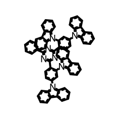 c1ccc(-c2nc(-c3ccc(-n4c5ccccc5c5ccccc54)cc3-n3c4ccccc4c4ccccc43)nc(-c3ccc(-n4c5ccccc5c5ccccc54)cc3-n3c4ccccc4c4ccccc43)n2)cc1